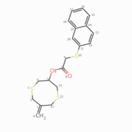 C=C1CSCC(OC(=O)CSc2ccc3ccccc3c2)CSC1